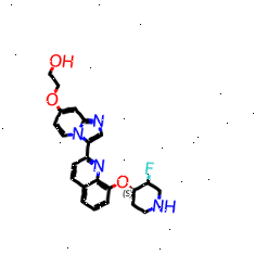 OCCOc1ccn2c(-c3ccc4cccc(O[C@H]5CCNCC5F)c4n3)cnc2c1